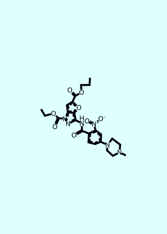 CCCOC(=O)c1cc2c(o1)c(NC(=O)c1ccc(N3CCN(C)CC3)cc1[N+](=O)[O-])nn2C(=O)OCC